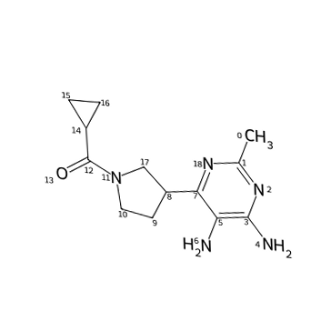 Cc1nc(N)c(N)c(C2CCN(C(=O)C3CC3)C2)n1